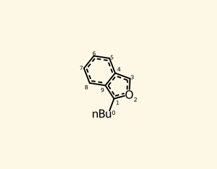 [CH2]CCCc1occ2ccccc12